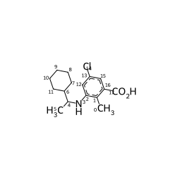 Cc1c(NC(C)C2CCCCC2)cc(Cl)cc1C(=O)O